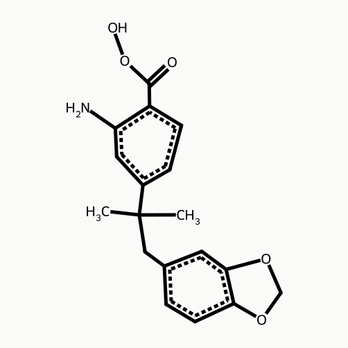 CC(C)(Cc1ccc2c(c1)OCO2)c1ccc(C(=O)OO)c(N)c1